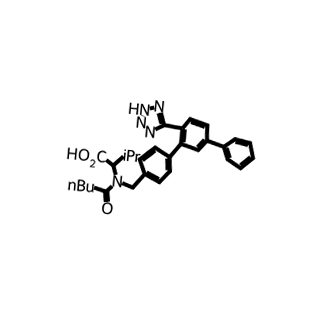 CCCCC(=O)N(Cc1ccc(-c2cc(-c3ccccc3)ccc2-c2nn[nH]n2)cc1)C(C(=O)O)C(C)C